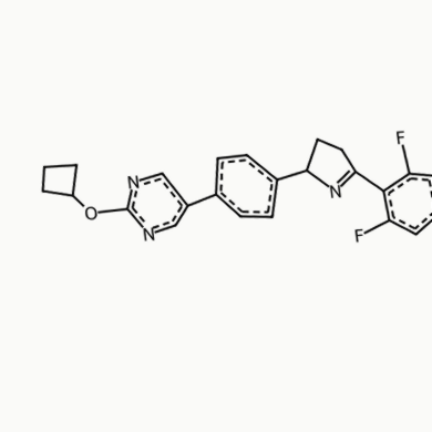 Fc1cccc(F)c1C1=NC(c2ccc(-c3cnc(OC4CCC4)nc3)cc2)CC1